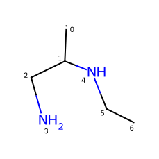 [CH2]C(CN)NCC